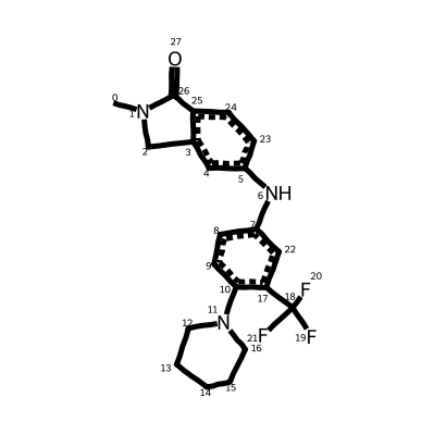 CN1Cc2cc(Nc3ccc(N4CCCCC4)c(C(F)(F)F)c3)ccc2C1=O